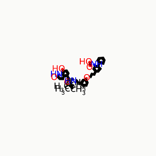 CC(C)(C)[Si](C)(C)O[C@@H](CNCCc1cccc(OCCCc2ccc(-c3ccccc3)c(NC(=O)O)c2)c1)c1ccc(O)c2[nH]c(=O)ccc12